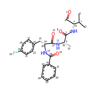 CC(C)[C@@H](C=O)NC(=O)[C@H](C)NC(=O)[C@@H](Cc1ccc(F)cc1)NC(=O)c1ccccc1